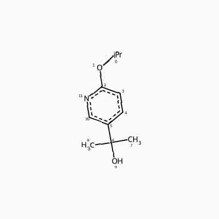 CC(C)Oc1ccc(C(C)(C)O)cn1